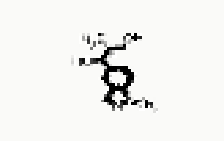 C[C@H](CO)C(O)c1ccc2c(cnn2C)c1